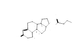 CCCC(=O)O[C@H]1CC[C@H]2[C@@H]3CCC4=CC(=O)CC[C@]4(C)[C@H]3CC[C@]12C